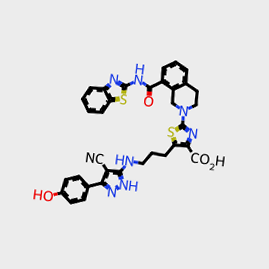 N#Cc1c(-c2ccc(O)cc2)n[nH]c1NCCCc1sc(N2CCc3cccc(C(=O)Nc4nc5ccccc5s4)c3C2)nc1C(=O)O